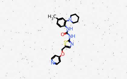 Cc1ccc(NC(=O)Nc2ncc(COc3ccncc3)s2)c(N2CCCCC2)c1